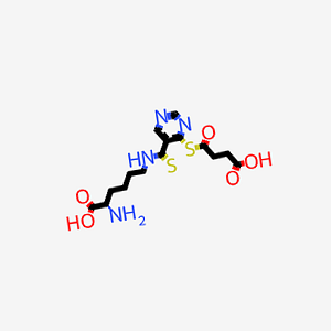 N[C@@H](CCCCNC(=S)c1cncnc1SC(=O)CCC(=O)O)C(=O)O